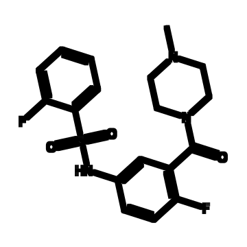 CN1CCN(C(=O)c2cc(NS(=O)(=O)c3ccccc3F)ccc2F)CC1